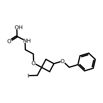 O=C(O)NCCOC1(CI)CC(OCc2ccccc2)C1